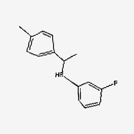 Cc1ccc(C(C)Bc2cccc(F)c2)cc1